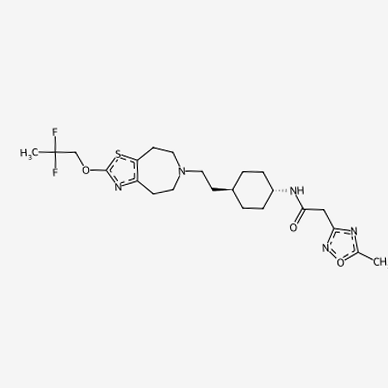 Cc1nc(CC(=O)N[C@H]2CC[C@H](CCN3CCc4nc(OCC(C)(F)F)sc4CC3)CC2)no1